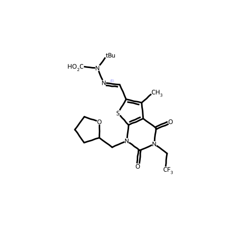 Cc1c(/C=N/N(C(=O)O)C(C)(C)C)sc2c1c(=O)n(CC(F)(F)F)c(=O)n2CC1CCCO1